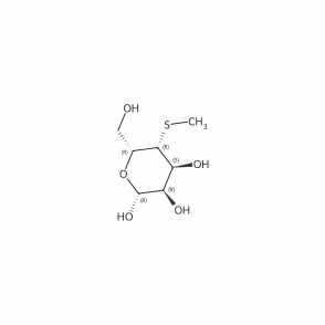 CS[C@@H]1[C@@H](O)[C@@H](O)[C@H](O)O[C@@H]1CO